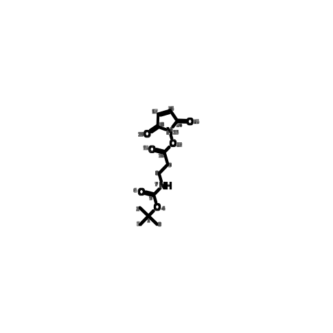 CC(C)(C)OC(=O)NCCC(=O)ON1C(=O)C=CC1=O